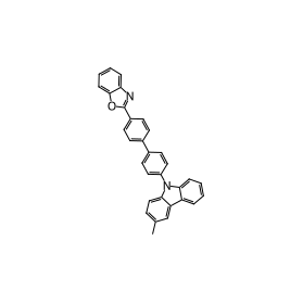 Cc1ccc2c(c1)c1ccccc1n2-c1ccc(-c2ccc(-c3nc4ccccc4o3)cc2)cc1